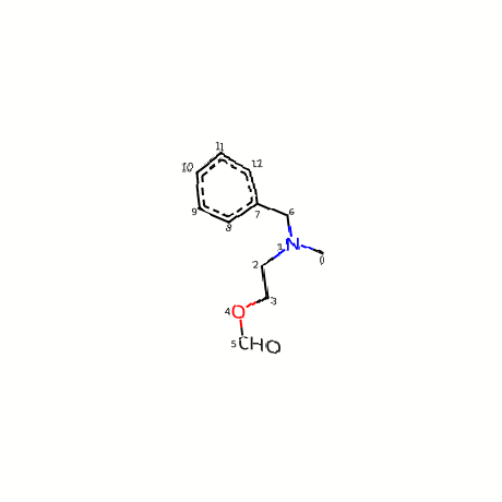 CN(CCOC=O)Cc1ccccc1